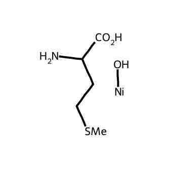 CSCCC(N)C(=O)O.[OH][Ni]